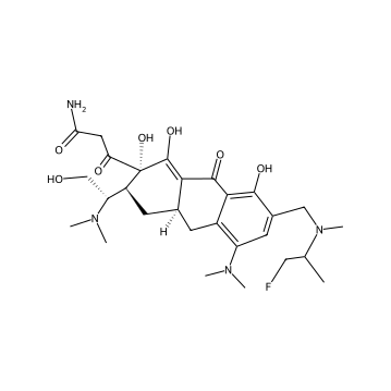 CC(CF)N(C)Cc1cc(N(C)C)c2c(c1O)C(=O)C1=C(O)[C@](O)(C(=O)CC(N)=O)[C@H]([C@@H](CO)N(C)C)C[C@@H]1C2